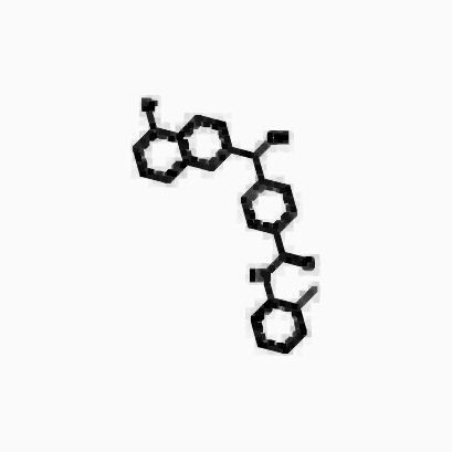 Cc1ccccc1NC(=O)c1ccc(C(O)c2ccc3c(Br)cccc3c2)cc1